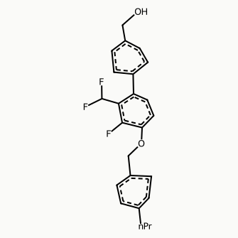 CCCc1ccc(COc2ccc(-c3ccc(CO)cc3)c(C(F)F)c2F)cc1